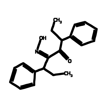 CCC(C(=O)C(=NO)C(CC)c1ccccc1)c1ccccc1